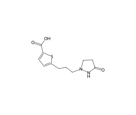 O=C1CCN(CCCc2ccc(C(=O)O)s2)N1